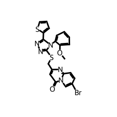 COc1ccccc1-n1c(SCc2cc(=O)n3cc(Br)ccc3n2)nnc1-c1cccs1